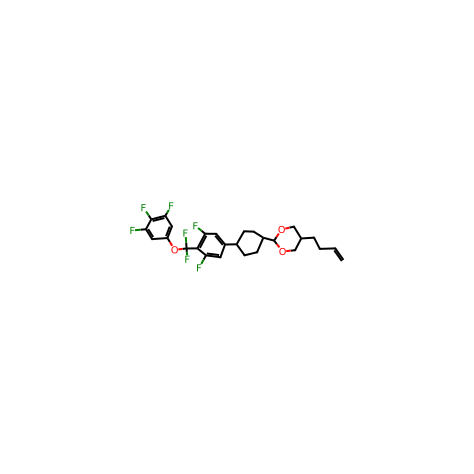 C=CCCC1COC(C2CCC(c3cc(F)c(C(F)(F)Oc4cc(F)c(F)c(F)c4)c(F)c3)CC2)OC1